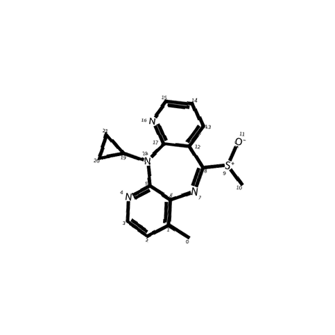 Cc1ccnc2c1N=C([S+](C)[O-])c1cccnc1N2C1CC1